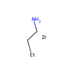 CCCCN.[Zr]